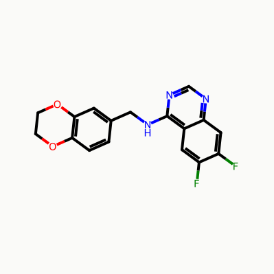 Fc1cc2ncnc(NCc3ccc4c(c3)OCCO4)c2cc1F